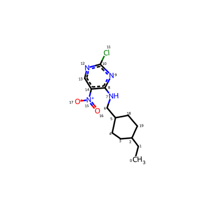 CCC1CCC(CNc2nc(Cl)ncc2[N+](=O)[O-])CC1